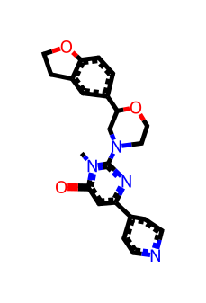 Cn1c(N2CCOC(c3ccc4c(c3)CCO4)C2)nc(-c2ccncc2)cc1=O